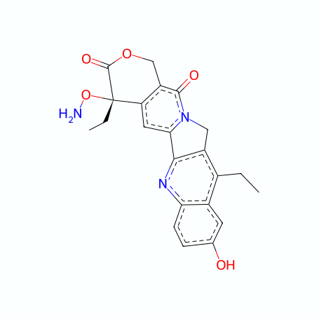 CCc1c2c(nc3ccc(O)cc13)-c1cc3c(c(=O)n1C2)COC(=O)[C@@]3(CC)ON